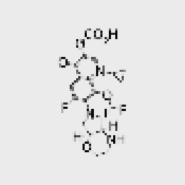 O=C(O)Oc1cn(C2CC2)c2c(OC(F)F)c(N3C[C@@H]4OCCN[C@@H]4C3)c(F)cc2c1=O